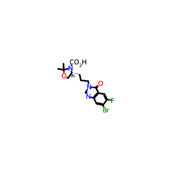 CC1(C)OC[C@@H](CCCn2cnc3cc(Br)c(F)cc3c2=O)N1C(=O)O